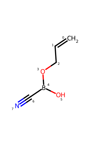 C=CCOB(O)C#N